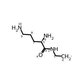 [CH2]CNC(=O)[C@H](N)CCCN